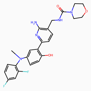 CN(c1ccc(O)c(-c2ccc(CNC(=O)N3CCOCC3)c(N)n2)c1)c1ccc(F)cc1F